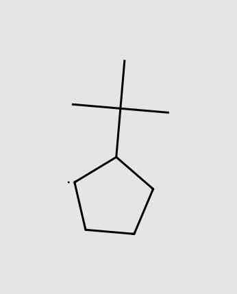 CC(C)(C)C1[CH]CCC1